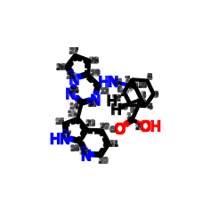 O=C(O)[C@H]1C2CCC(CC2)[C@@H]1Nc1nc(-c2c[nH]c3ncccc23)nn2cccc12